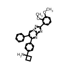 COc1cccc(-c2nc3nc(-c4ccc(C5(N)CCC5)cc4)c(-c4ccccc4)cn3n2)c1OC